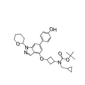 CC(C)(C)OC(=O)N(CC1CC1)C1CC(Oc2cc(-c3ccc(O)cc3)cc3c2cnn3C2CCCCO2)C1